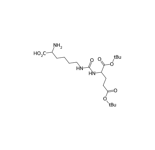 CC(C)(C)OC(=O)CCC(NC(=O)NCCCCC(N)C(=O)O)C(=O)OC(C)(C)C